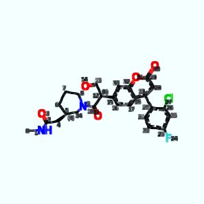 CNC(=O)C[C@H]1CCCN(C(=O)[C@@H](C=O)c2ccc3c(-c4ccc(F)cc4Cl)cc(=O)oc3c2)C1